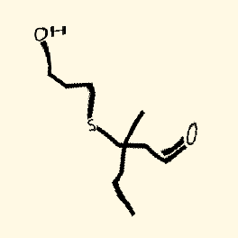 CCC(C)(C=O)SCCO